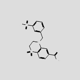 COC(=O)c1ccc2c(c1)N(Cc1cccc(S(=O)(=O)C(F)(F)F)c1)CCS2(=O)=O